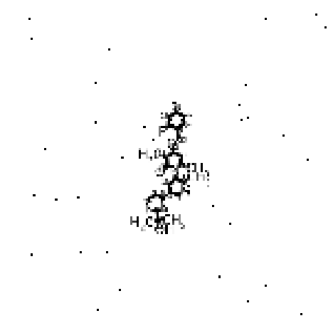 Cc1ncc(-c2ccnc(C(C)(C)O)n2)cc1-n1c(C)cc(OCc2ccc(F)cc2F)c(C)c1=O